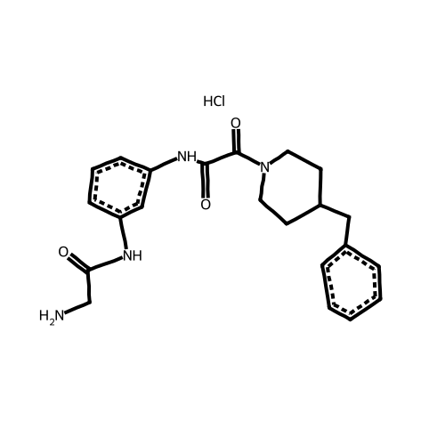 Cl.NCC(=O)Nc1cccc(NC(=O)C(=O)N2CCC(Cc3ccccc3)CC2)c1